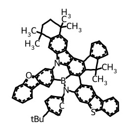 CC(C)(C)c1ccc(N2B3c4cc5c(cc4-n4c6cc7c(cc6c6c8c(c(c3c64)-c3cc4c(cc32)sc2ccccc24)C(C)(C)c2ccccc2-8)C(C)(C)CCC7(C)C)oc2ccccc25)cc1